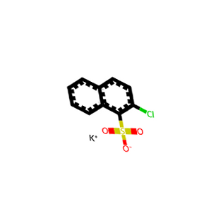 O=S(=O)([O-])c1c(Cl)ccc2ccccc12.[K+]